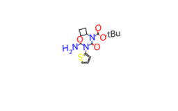 CC(C)(C)OC(=O)N(C(=O)N(C(N)=O)c1cccs1)C1CCC1